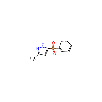 Cc1cc(S(=O)(=O)c2ccccc2)[nH]n1